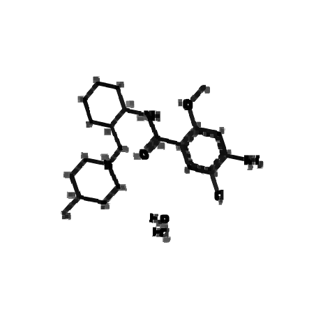 COc1cc(N)c(Cl)cc1C(=O)NC1CCCCC1CN1CCC(C)CC1.Cl.O